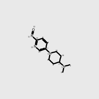 CN(C)C1CCN(c2ccc(N=O)nc2)CC1